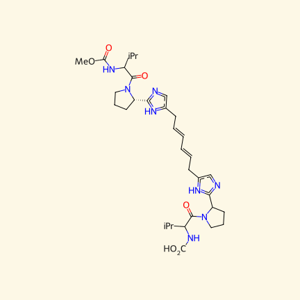 COC(=O)NC(C(=O)N1CCC[C@H]1c1ncc(C/C=C/C=C/Cc2cnc(C3CCCN3C(=O)C(NC(=O)O)C(C)C)[nH]2)[nH]1)C(C)C